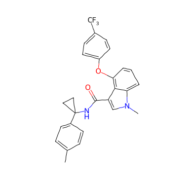 Cc1ccc(C2(NC(=O)c3cn(C)c4cccc(Oc5ccc(C(F)(F)F)cc5)c34)CC2)cc1